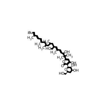 CCC(C)/C=C(C)/C=C/C=C(\C)CC(C)CC(C)CC(/C=C(C)/C=C/C(O)C(C)(C)c1cc(O)c([C@@H]2O[C@H](CO)C[C@H](O)[C@H]2O)c(=O)o1)CO